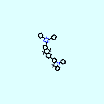 CC1(C)c2ccccc2N(c2ccccc2)c2ccc(-c3ccc4c(c3)C(C)(C)c3cc(-c5nc(-c6ccccc6)nc(-c6ccccc6)n5)ccc3C4(C)C)cc21